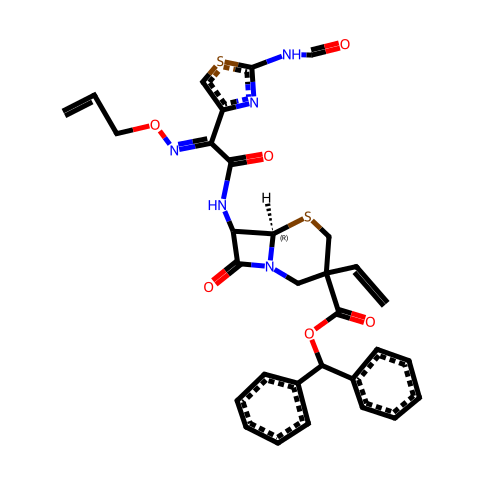 C=CCON=C(C(=O)NC1C(=O)N2CC(C=C)(C(=O)OC(c3ccccc3)c3ccccc3)CS[C@H]12)c1csc(NC=O)n1